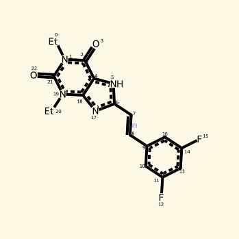 CCn1c(=O)c2[nH]c(/C=C/c3cc(F)cc(F)c3)nc2n(CC)c1=O